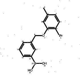 Cc1ccc(C(C)C)c(OCc2cccc(B(O)O)c2)c1